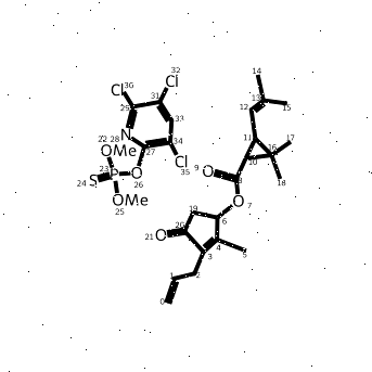 C=CCC1=C(C)C(OC(=O)C2C(C=C(C)C)C2(C)C)CC1=O.COP(=S)(OC)Oc1nc(Cl)c(Cl)cc1Cl